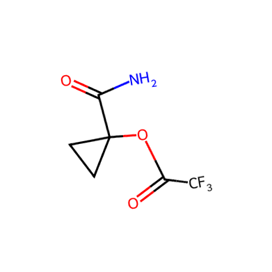 NC(=O)C1(OC(=O)C(F)(F)F)CC1